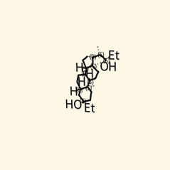 CC[C@H](O)[C@@H](C)[C@H]1CC[C@H]2[C@@H]3CC[C@H]4C[C@](O)(CC)CC[C@]4(C)[C@H]3CC[C@]12C